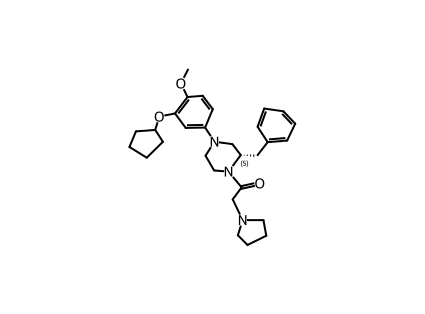 COc1ccc(N2CCN(C(=O)CN3CCCC3)[C@@H](Cc3ccccc3)C2)cc1OC1CCCC1